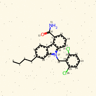 CCCCc1c[c]c2c3c(C(N)=O)cccc3n(Cc3c(Cl)cccc3Cl)c2c1